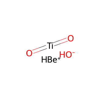 [BeH+].[OH-].[O]=[Ti]=[O]